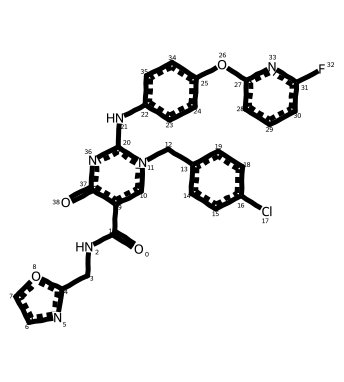 O=C(NCc1ncco1)c1cn(Cc2ccc(Cl)cc2)c(Nc2ccc(Oc3cccc(F)n3)cc2)nc1=O